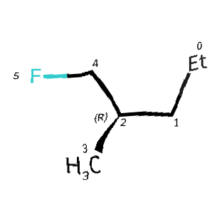 CCC[C@@H](C)CF